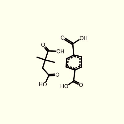 CC(C)(CC(=O)O)C(=O)O.O=C(O)c1ccc(C(=O)O)cc1